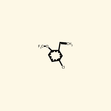 C=Cc1cc(Cl)ccc1OC(F)(F)F